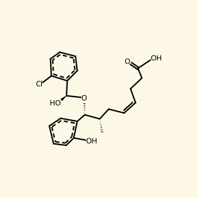 C[C@@H](C/C=C\CCC(=O)O)[C@@H](O[C@@H](O)c1ccccc1Cl)c1ccccc1O